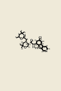 CC1CC(C)(C)N=C(CN2CC(C)(C)OC[C@H]2C(=O)Nc2cc(Cl)cc3c2[nH]c2cnccc23)O1